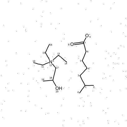 CC(C)CCCCC(=O)[O-].CC[N+](CC)(CC)CC(C)O